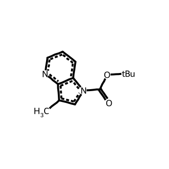 Cc1cn(C(=O)OC(C)(C)C)c2cccnc12